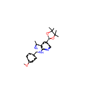 COc1ccc(CNc2ncc(B3OC(C)(C)C(C)(C)O3)cc2C(C)=N)cc1